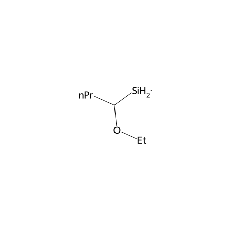 CCCC([SiH2])OCC